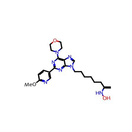 C=C(CCCCCCn1cnc2c(N3CCOCC3)nc(-c3ccc(OC)nc3)nc21)NO